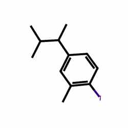 Cc1cc(C(C)C(C)C)ccc1I